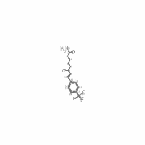 NC(=O)CCCCC(=O)C=Cc1ccc(C(F)(F)F)cc1